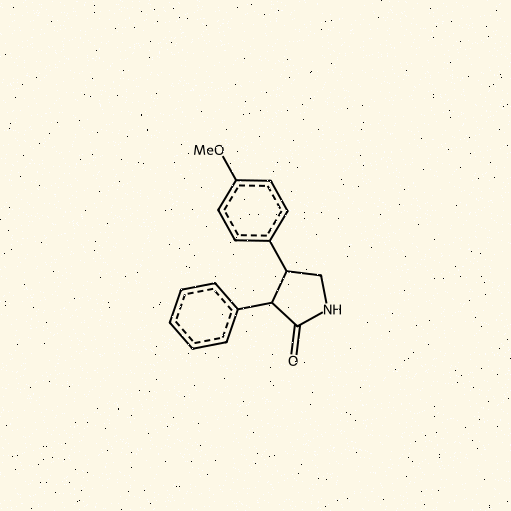 COc1ccc(C2CNC(=O)C2c2ccccc2)cc1